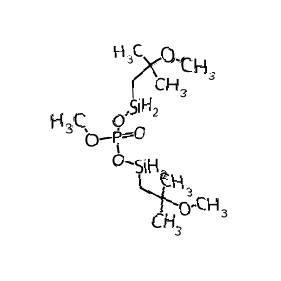 COC(C)(C)C[SiH2]OP(=O)(OC)O[SiH2]CC(C)(C)OC